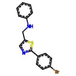 Brc1ccc(-c2ncc(CNc3ccccc3)s2)cc1